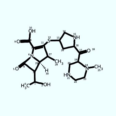 CC(O)C1C(=O)N2C(C(=O)O)=C(SC3CNC(C(=O)C4CNCCN4C)C3)C(C)[C@@H]12